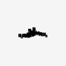 CCCCCCc1ccc(C23CCC(CCC)(CC2)CC3)c(C#N)c1C#N